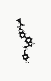 CC(C)c1ccc(CNC(=O)c2c[nH]c3ccc(-c4ccc5nc(NC(=O)C6CC6)sc5c4)cc23)cc1